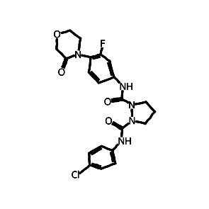 O=C1COCCN1c1ccc(NC(=O)N2CCCN2C(=O)Nc2ccc(Cl)cc2)cc1F